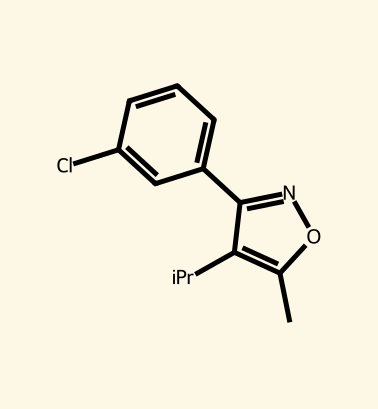 Cc1onc(-c2cccc(Cl)c2)c1C(C)C